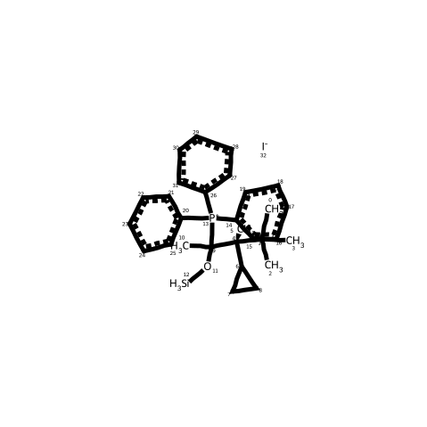 CC(C)(C)[C@](C)(C1CC1)C(C)(O[SiH3])[P+](c1ccccc1)(c1ccccc1)c1ccccc1.[I-]